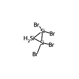 Br[Si]1(Br)[SiH2][Si]1(Br)Br